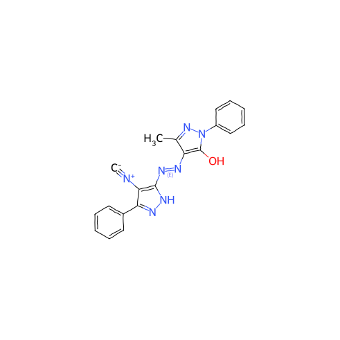 [C-]#[N+]c1c(-c2ccccc2)n[nH]c1/N=N/c1c(C)nn(-c2ccccc2)c1O